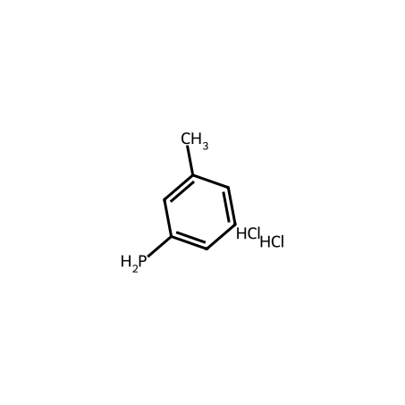 Cc1cccc(P)c1.Cl.Cl